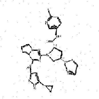 O=C(Nc1ccc(F)nc1)[C@@H]1C[C@H](n2nccn2)CN1c1nc(Nc2cc(C3CC3)[nH]n2)c2cccn2n1